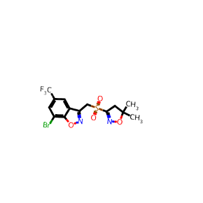 CC1(C)CC(S(=O)(=O)Cc2noc3c(Br)cc(C(F)(F)F)cc23)=NO1